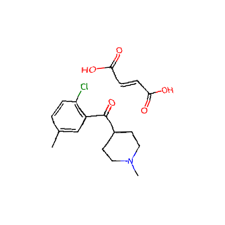 Cc1ccc(Cl)c(C(=O)C2CCN(C)CC2)c1.O=C(O)C=CC(=O)O